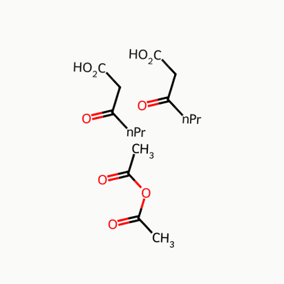 CC(=O)OC(C)=O.CCCC(=O)CC(=O)O.CCCC(=O)CC(=O)O